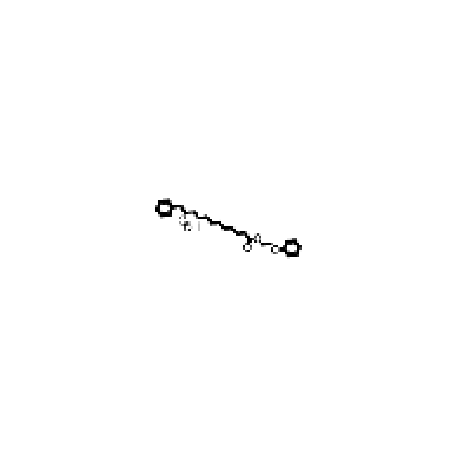 O=C(CCCCCCCCCC(Cc1ccccc1)OO)OCCOc1ccccc1